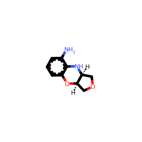 Nc1cccc2c1N[C@H]1COC[C@H]1O2